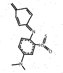 C=C1C=CC(=Nc2ccc(N(C)C)cc2[SH](=O)=S)C=C1